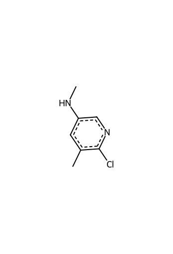 CNc1cnc(Cl)c(C)c1